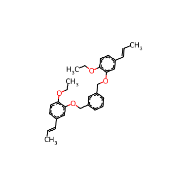 C/C=C/c1ccc(OCC)c(OCc2cccc(COc3cc(/C=C/C)ccc3OCC)c2)c1